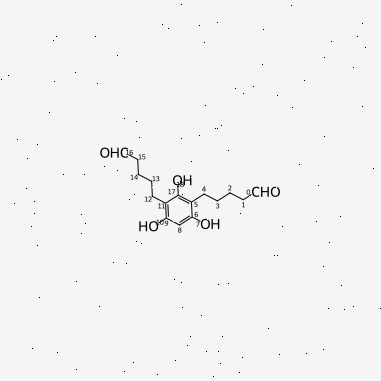 O=CCCCCc1c(O)cc(O)c(CCCCC=O)c1O